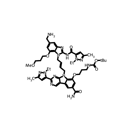 CCn1nc(C)cc1C(=O)Nc1nc2cc(CN)cc(OCCCOC)c2n1C/C=C/Cn1c2nc(-c3cc(C)nn3CC)ncc2c2cc(C(N)=O)cc(OCCCNC(=O)OC(C)(C)C)c21